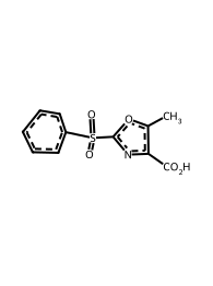 Cc1oc(S(=O)(=O)c2ccccc2)nc1C(=O)O